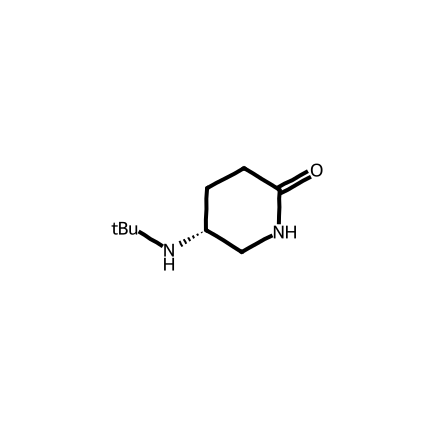 CC(C)(C)N[C@@H]1CCC(=O)NC1